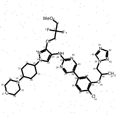 COCC(F)(F)COc1nn(C2CCC(N3CCOCC3)CC2)cc1Nc1ncc(-c2ccc(Cl)c(OC(C)Cn3cncn3)c2)cn1